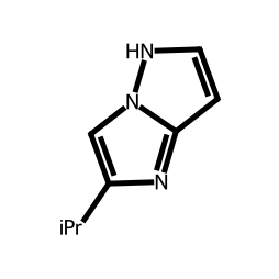 CC(C)c1cn2[nH]ccc2n1